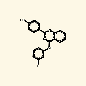 Oc1ccc(-c2nc(Nc3cccc(F)c3)c3ccccc3n2)cc1